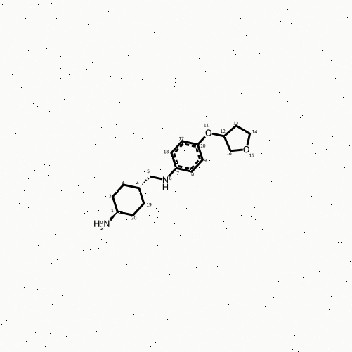 N[C@H]1CC[C@H](CNc2ccc(OC3CCOC3)cc2)CC1